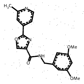 COc1cc(CNC(=O)c2coc(-c3ccnc(C)c3)n2)cc(OC)c1